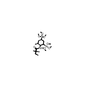 CCC(C)(C)C(=O)NC1C(C)CC([Si](OC)(OC)OC)CC1[Si](OC)(OC)OC